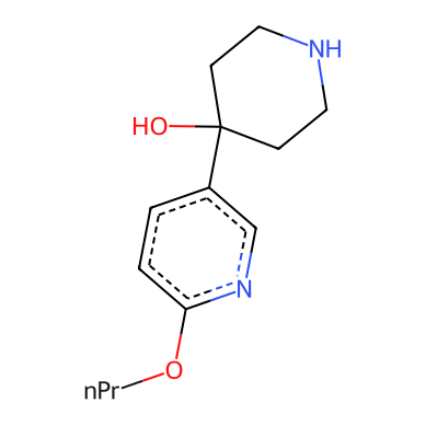 CCCOc1ccc(C2(O)CCNCC2)cn1